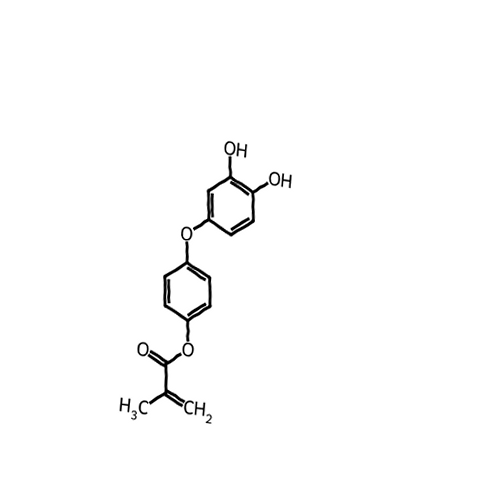 C=C(C)C(=O)Oc1ccc(Oc2ccc(O)c(O)c2)cc1